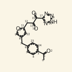 CC(=O)c1ccc(Cc2coc(CC(=O)C(=O)c3nn[nH]n3)c2)cc1